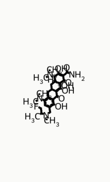 CC(CF)N(C)Cc1cc(N(C)C)c2c(c1O)C(=O)C1=C(O)[C@]3(O)C(=O)C(C(N)=O)=C(O)[C@@H](N(C)C)[C@@H]3CC1C2